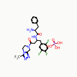 NC(Cc1ccccc1)C(=O)NC(CC(=O)N1CCn2c(nnc2C(F)(F)F)C1)Cc1cc(F)c(F)cc1F.O=P(O)(O)O